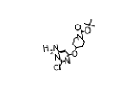 CC(C)(C)OC(=O)N1CCC(Oc2cc(N)nc(Cl)n2)CC1